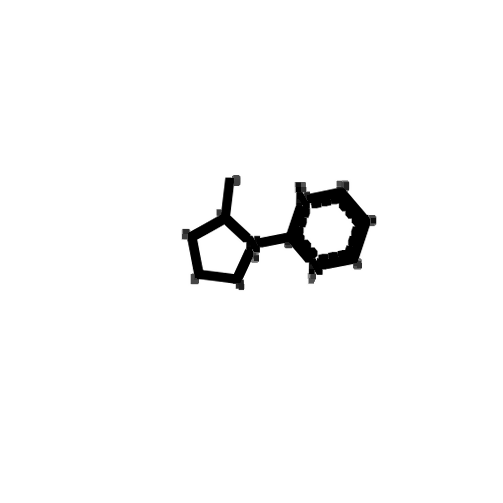 CC1CCCN1c1nc[c]cn1